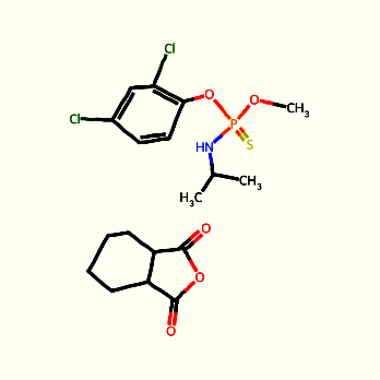 COP(=S)(NC(C)C)Oc1ccc(Cl)cc1Cl.O=C1OC(=O)C2CCCCC12